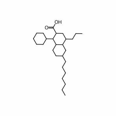 CCCCCCCC1CCC2C(C1)C(CCC)CC(C(=O)O)C2C1CCCCC1